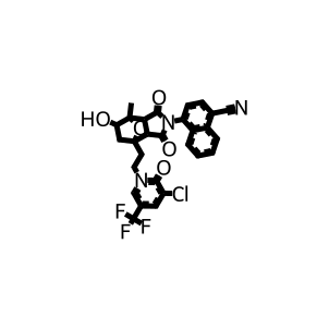 CC12OC(CCn3cc(C(F)(F)F)cc(Cl)c3=O)(CC1O)C1C(=O)N(c3ccc(C#N)c4ccccc34)C(=O)C12